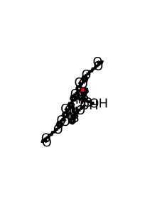 C=CC(=O)OCCCCCCOc1ccc(OC(=O)C2CCC(C(=O)Oc3ccc(-c4ccc(OC(=O)C5CCC(C(=O)Oc6ccc(OCCCCCCOC(=O)C=C)cc6)CC5)c(/C=N/N(CCOCCO)c5nc6ccccc6s5)c4)cc3/C=N/N(CCOCCO)c3nc4ccccc4s3)CC2)cc1